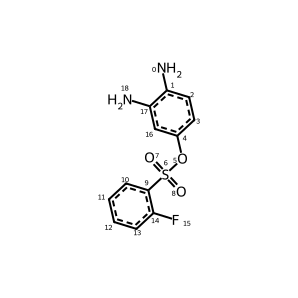 Nc1ccc(OS(=O)(=O)c2ccccc2F)cc1N